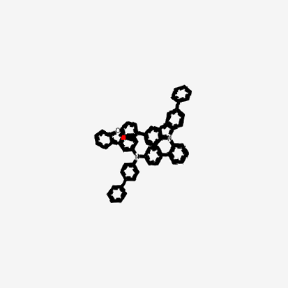 c1ccc(-c2ccc(N(c3ccc(-c4ccccc4-n4c5ccc(-c6ccccc6)cc5c5cc(-c6ccccc6)ccc54)cc3)c3ccc4oc5ccccc5c4c3)cc2)cc1